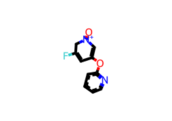 O=[N+]1C=C(Oc2ccccn2)C=C(F)C1